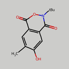 Cc1cc2c(=O)on(C(C)(C)C)c(=O)c2cc1O